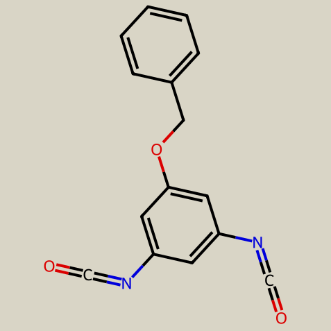 O=C=Nc1cc(N=C=O)cc(OCc2ccccc2)c1